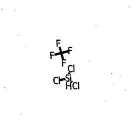 Cl[SiH](Cl)Cl.FC(F)(F)F